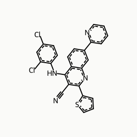 N#Cc1c(-c2cccs2)nc2cc(-c3ccccn3)ccc2c1Nc1ccc(Cl)cc1Cl